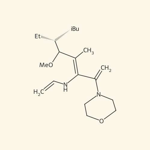 C=CN/C(C(=C)N1CCOCC1)=C(/C)C(OC)[C@H](CC)[C@@H](C)CC